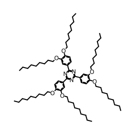 CCCCCCCCCOc1ccc(-c2nc(-c3ccc(OCCCCCCCCC)c(OCCCCCCCCC)c3)nc(-c3ccc(OCCCCCCCCC)c(OCCCCCCCCC)c3)n2)cc1OCCCCCCCCC